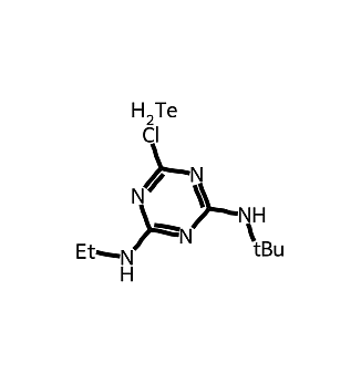 CCNc1nc(Cl)nc(NC(C)(C)C)n1.[TeH2]